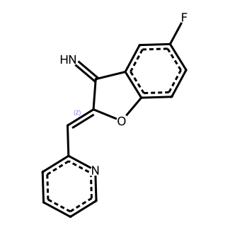 N=C1/C(=C/c2ccccn2)Oc2ccc(F)cc21